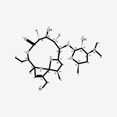 CC[C@H]1OC(=O)[C@H](C)[C@@H](O)[C@H](C)[C@@H](O[C@@H]2O[C@H](C)C[C@H](N(C)C)[C@H]2O)[C@@]2(C)C[C@@H](C)C3(OC1(C)C=C3CBr)O2